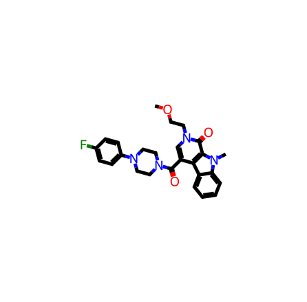 COCCn1cc(C(=O)N2CCN(c3ccc(F)cc3)CC2)c2c3ccccc3n(C)c2c1=O